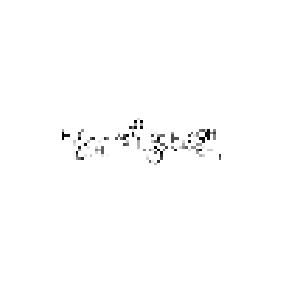 CC(C)(CO)CCCCC1CCC(=O)C(C=CC2CCCC(CCCCC(C)(C)CO)[S+]2[O-])S1